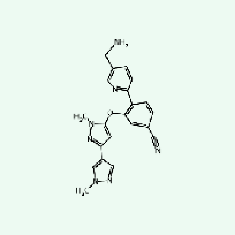 Cn1cc(-c2cc(Oc3cc(C#N)ccc3-c3ccc(CN)cn3)n(C)n2)cn1